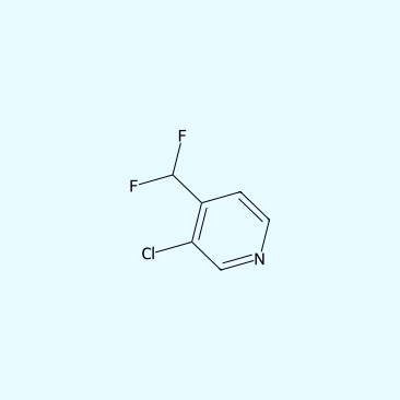 FC(F)c1ccncc1Cl